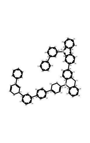 C1=CC(c2ccccc2)=CC(c2cccc(-c3ccc(C4=CC=C(N5c6ccccc6Cc6cc(-c7ccc8c9ccccc9n(-c9cccc(-c%10ccccc%10)c9)c8c7)ccc65)CC4)cc3)c2)C1